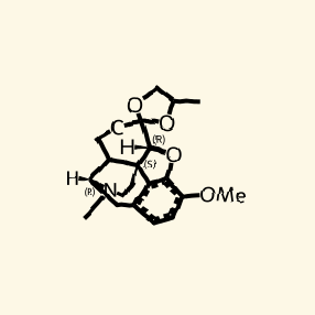 COc1ccc2c3c1O[C@H]1C4(CCC5[C@@H](C2)N(C)CC[C@@]351)OCC(C)O4